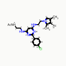 CC(=O)NCCNc1cc(NCCn2cc(C)c(C(C)=O)c2C)nc(-c2ccc(Cl)cc2)n1